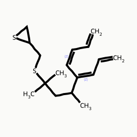 C=C/C=C\C(=C/C=C)C(C)CC(C)(C)SCC1CS1